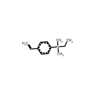 C=Cc1ccc(S(C)(C)CC)cc1